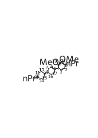 CCCc1ccc(C2=CCC(C3CCC(CCC)CC3)CC2)c(OC)c1OC